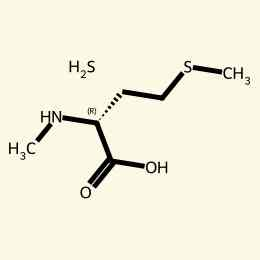 CN[C@H](CCSC)C(=O)O.S